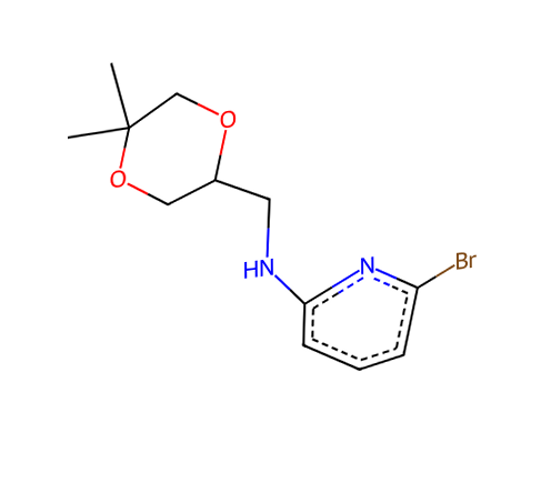 CC1(C)COC(CNc2cccc(Br)n2)CO1